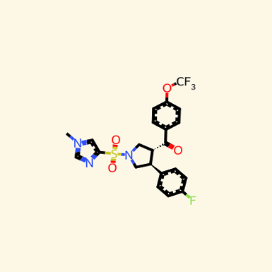 Cn1cnc(S(=O)(=O)N2C[C@H](C(=O)c3ccc(OC(F)(F)F)cc3)[C@@H](c3ccc(F)cc3)C2)c1